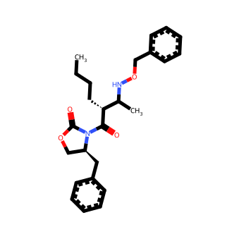 CCCC[C@@H](C(=O)N1C(=O)OC[C@@H]1Cc1ccccc1)C(C)NOCc1ccccc1